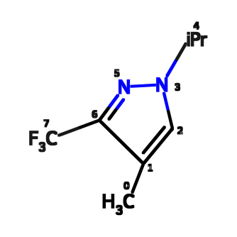 Cc1cn(C(C)C)nc1C(F)(F)F